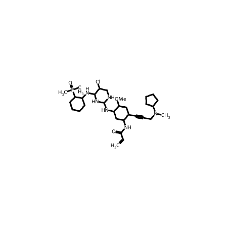 C=CC(=O)NC1CC(NC2NCC(Cl)C(NC3CCCCC3P(C)(C)=O)N2)C(OC)CC1C#CCN(C)C1CCCC1